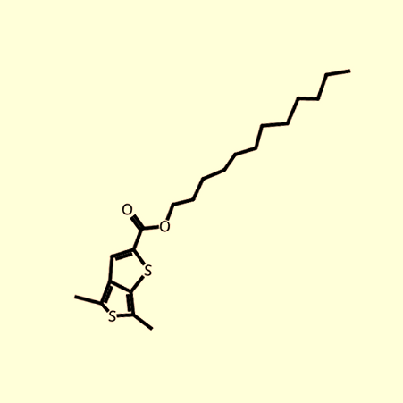 CCCCCCCCCCCCOC(=O)c1cc2c(C)sc(C)c2s1